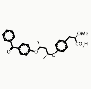 CO[C@@H](Cc1ccc(O[C@H](C)C[C@@H](C)Oc2ccc(C(=O)c3ccccc3)cc2)cc1)C(=O)O